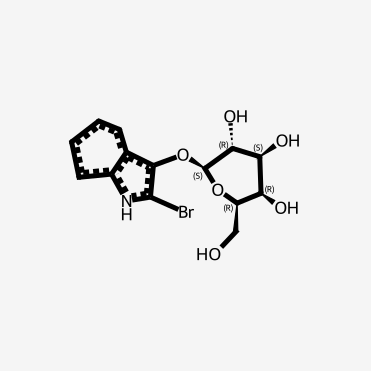 OC[C@H]1O[C@@H](Oc2c(Br)[nH]c3ccccc23)[C@H](O)[C@@H](O)[C@H]1O